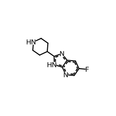 Fc1cnc2[nH]c(C3CCNCC3)nc2c1